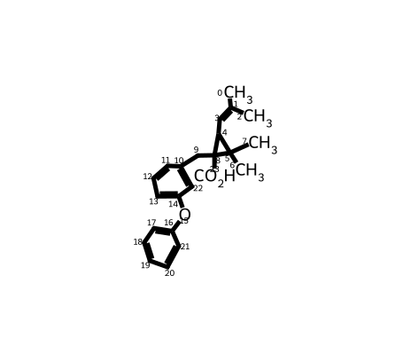 CC(C)=CC1C(C)(C)C1(Cc1cccc(Oc2ccccc2)c1)C(=O)O